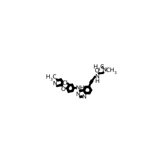 Cc1ccc(Oc2ccc(Nc3ncnc4ccc(C#CCNC(=O)CN(C)C)cc34)cc2Cl)cn1